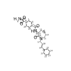 NS(=O)(=O)c1ccc(C(=O)N[C@H]2CSCCN(CC=Cc3ccccc3)C2=O)cc1